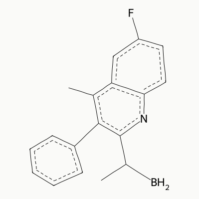 BC(C)c1nc2ccc(F)cc2c(C)c1-c1ccccc1